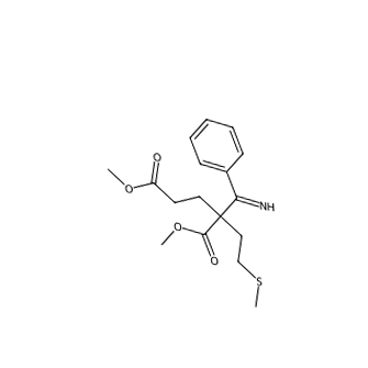 COC(=O)CCC(CCSC)(C(=N)c1ccccc1)C(=O)OC